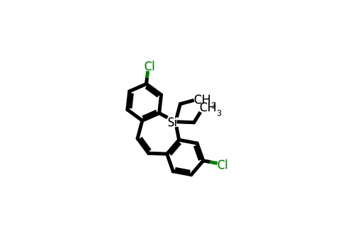 CC[Si]1(CC)c2cc(Cl)ccc2C=Cc2ccc(Cl)cc21